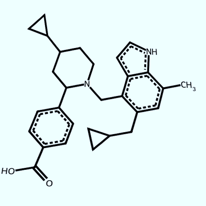 Cc1cc(CC2CC2)c(CN2CCC(C3CC3)CC2c2ccc(C(=O)O)cc2)c2cc[nH]c12